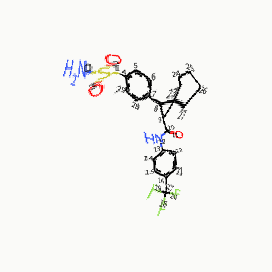 NS(=O)(=O)c1ccc(C2C(C(=O)Nc3ccc(C(F)(F)F)cc3)C23CCCC3)cc1